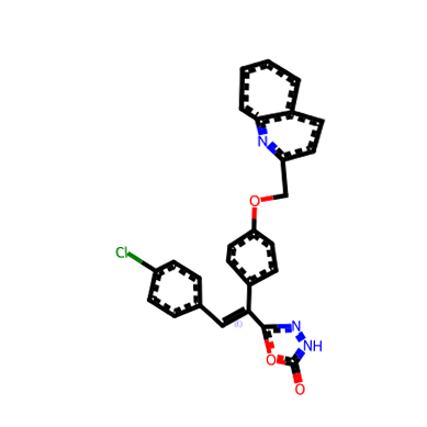 O=c1[nH]nc(/C(=C/c2ccc(Cl)cc2)c2ccc(OCc3ccc4ccccc4n3)cc2)o1